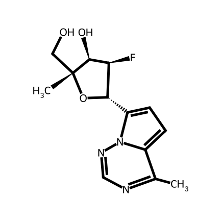 Cc1ncnn2c([C@@H]3O[C@](C)(CO)[C@@H](O)[C@H]3F)ccc12